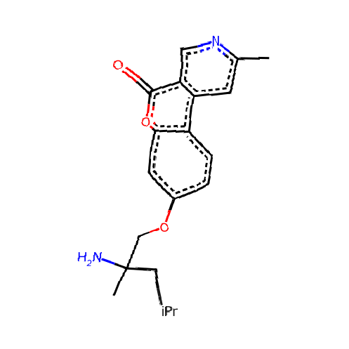 Cc1cc2c(cn1)c(=O)oc1cc(OCC(C)(N)CC(C)C)ccc12